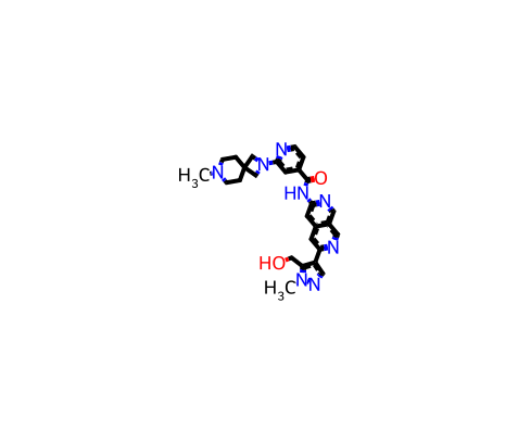 CN1CCC2(CC1)CN(c1cc(C(=O)Nc3cc4cc(-c5cnn(C)c5CO)ncc4cn3)ccn1)C2